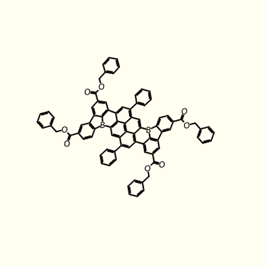 O=C(OCc1ccccc1)c1ccc2c(c1)-c1cc(C(=O)OCc3ccccc3)cc3c1B2c1cc2c(-c4ccccc4)cc4c5c(cc6c(-c7ccccc7)cc-3c1c6c25)B1c2ccc(C(=O)OCc3ccccc3)cc2-c2cc(C(=O)OCc3ccccc3)cc-4c21